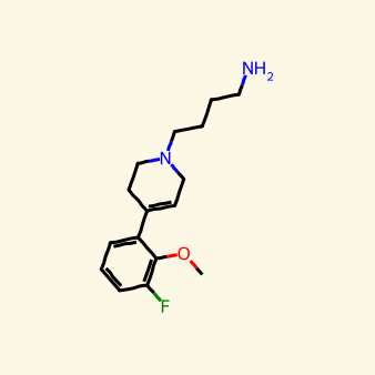 COc1c(F)cccc1C1=CCN(CCCCN)CC1